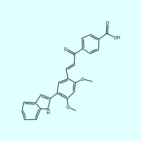 COc1cc(OC)c(-c2cc3ccccc3[nH]2)cc1/C=C/C(=O)c1ccc(C(=O)O)cc1